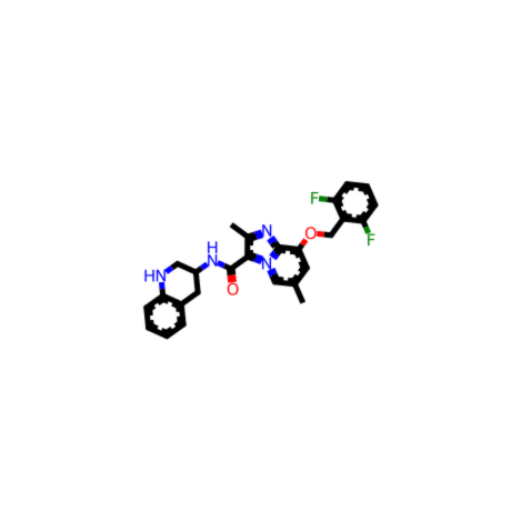 Cc1cc(OCc2c(F)cccc2F)c2nc(C)c(C(=O)NC3CNc4ccccc4C3)n2c1